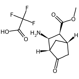 COC(=O)[C@H]1[C@@H]2CC(=O)[C@@H](C2)[C@H]1N.O=C(O)C(F)(F)F